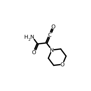 NC(=O)C(=C=O)N1CCOCC1